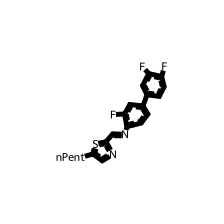 CCCCCc1cnc(C=Nc2ccc(-c3ccc(F)c(F)c3)cc2F)s1